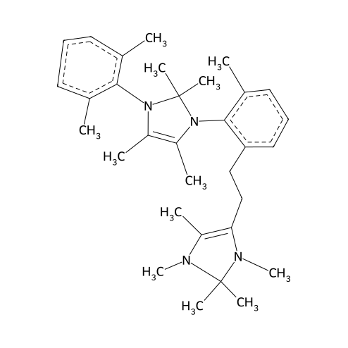 CC1=C(CCc2cccc(C)c2N2C(C)=C(C)N(c3c(C)cccc3C)C2(C)C)N(C)C(C)(C)N1C